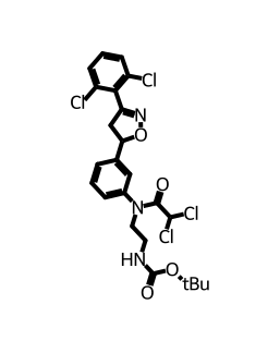 CC(C)(C)OC(=O)NCCN(C(=O)C(Cl)Cl)c1cccc(C2CC(c3c(Cl)cccc3Cl)=NO2)c1